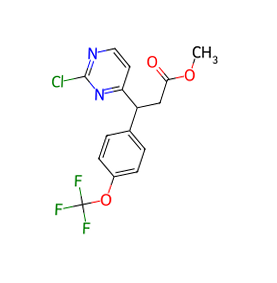 COC(=O)CC(c1ccc(OC(F)(F)F)cc1)c1ccnc(Cl)n1